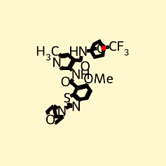 COc1ccc2nc(N3C4COCC3C4)sc2c1C(=O)Nc1cnc(C)cc1C(=O)NC12CCC(C(F)(F)F)(CC1)OC2